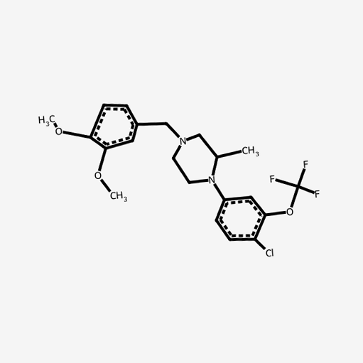 COc1ccc(CN2CCN(c3ccc(Cl)c(OC(F)(F)F)c3)C(C)C2)cc1OC